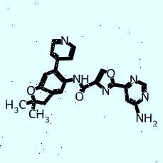 CC1(C)Cc2cc(NC(=O)c3coc(-c4cc(N)ncn4)n3)c(-c3ccncc3)cc2O1